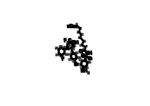 CCCCCCCCCCCCCCCCCC(=O)NS(=O)(=O)c1ccc(N)cc1.OC1(C(F)(F)F)CN(c2cccc(F)c2)C(c2ccc(Br)cc2)=N1